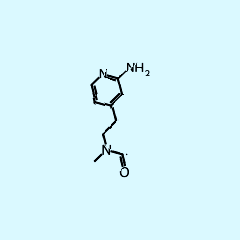 CN([C]=O)CCc1ccnc(N)c1